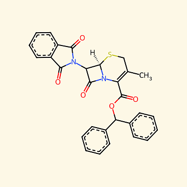 CC1=C(C(=O)OC(c2ccccc2)c2ccccc2)N2C(=O)C(N3C(=O)c4ccccc4C3=O)[C@H]2SC1